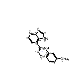 COc1cccc(N/C(=N\O)c2ccnc3nc[nH]c23)c1